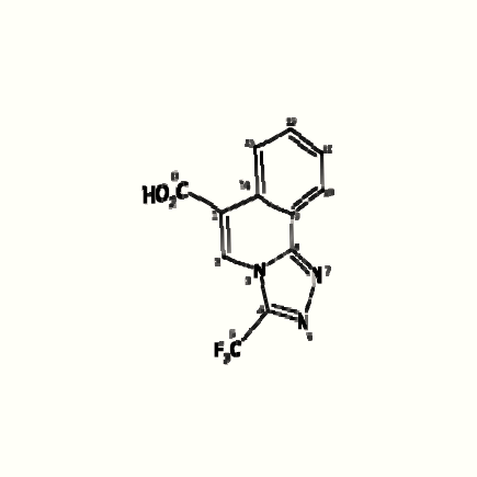 O=C(O)c1cn2c(C(F)(F)F)nnc2c2ccccc12